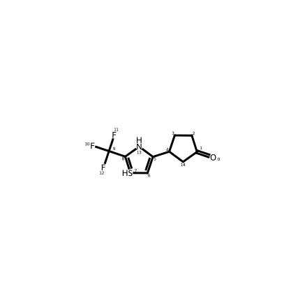 O=C1CCC(C2=C[SH]=C(C(F)(F)F)N2)C1